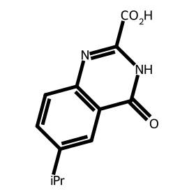 CC(C)c1ccc2nc(C(=O)O)[nH]c(=O)c2c1